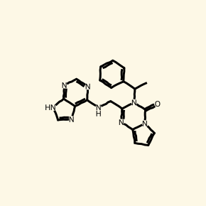 CC(c1ccccc1)n1c(CNc2ncnc3[nH]cnc23)nc2cccn2c1=O